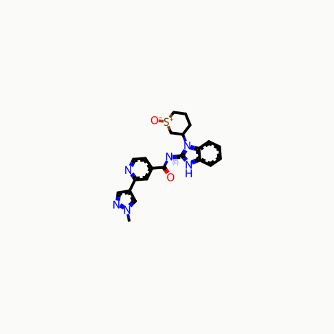 Cn1cc(-c2cc(C(=O)/N=c3\[nH]c4ccccc4n3C3CCC[S+]([O-])C3)ccn2)cn1